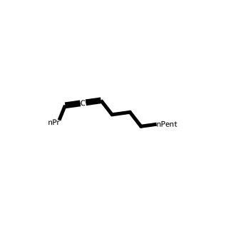 CCCC=C=CCCCCCCCC